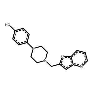 Oc1ccc(N2CCN(Cc3cc4ncccc4o3)CC2)cc1